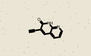 C#Cc1cc2cccnc2[nH]c1=O